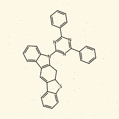 C1=C2c3ccccc3SC2Cc2c1c1ccccc1n2-c1nc(-c2ccccc2)nc(-c2ccccc2)n1